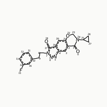 O=C1c2cc3nnn(CCc4cccc(F)c4)c(=O)c3cc2OCN1C1CC1